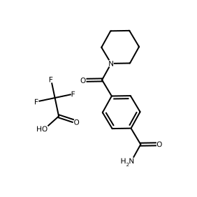 NC(=O)c1ccc(C(=O)N2CCCCC2)cc1.O=C(O)C(F)(F)F